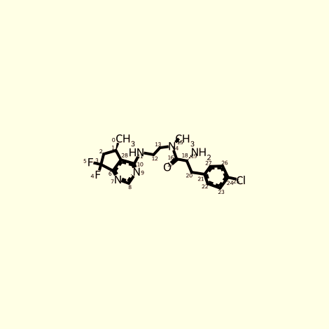 C[C@@H]1CC(F)(F)c2ncnc(NCCN(C)C(=O)[C@H](N)Cc3ccc(Cl)cc3)c21